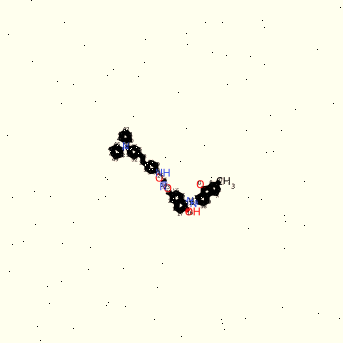 Cc1ccc2c(c1)C(=O)c1cc(N=Nc3c(O)ccc4cc(CO/N=C/ONc5ccc(CCc6ccc(N(c7ccccc7)c7ccccc7)cc6)cc5)ccc34)ccc1-2